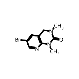 CN1Cc2cc(Br)cnc2N(C)C1=O